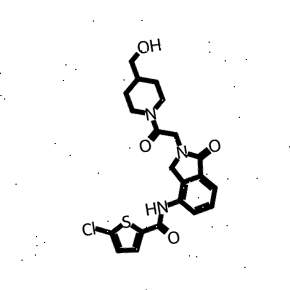 O=C(Nc1cccc2c1CN(CC(=O)N1CCC(CO)CC1)C2=O)c1ccc(Cl)s1